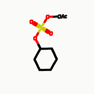 CC(=O)OOS(=O)(=O)OC1CCCCC1